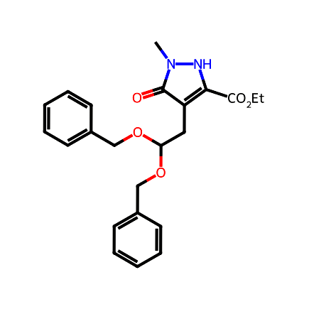 CCOC(=O)c1[nH]n(C)c(=O)c1CC(OCc1ccccc1)OCc1ccccc1